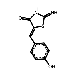 N=C1NC(=O)C(=Cc2ccc(O)cc2)S1